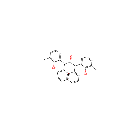 Cc1cccc(C(C(=O)C(c2ccccc2)c2cccc(C)c2O)c2ccccc2)c1O